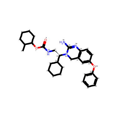 CC1CCCCC1OC(=O)NC[C@@H](C1CCCCC1)N1Cc2cc(Oc3ccccc3)ccc2N=C1N